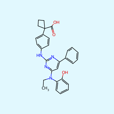 CCN(c1cc(-c2ccccc2)nc(Nc2ccc(C3(C(=O)O)CCC3)cc2)n1)c1ccccc1O